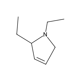 CCC1C=CCN1CC